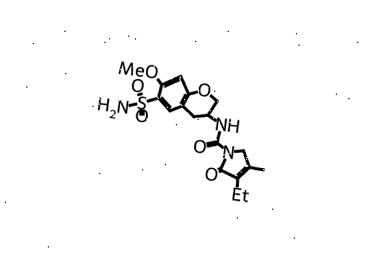 CCC1=C(C)CN(C(=O)NC2COc3cc(OC)c(S(N)(=O)=O)cc3C2)C1=O